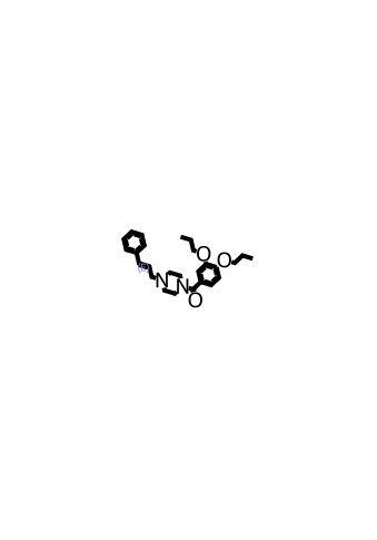 CCCOc1ccc(C(=O)N2CCN(C/C=C/c3ccccc3)CC2)cc1OCCC